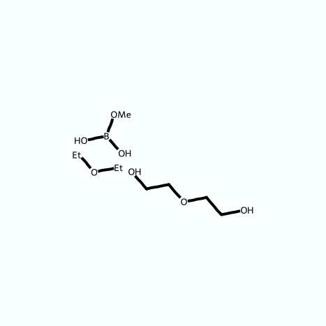 CCOCC.COB(O)O.OCCOCCO